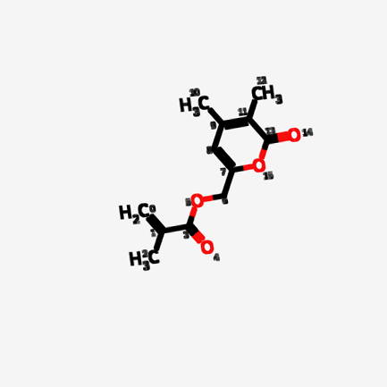 C=C(C)C(=O)OCc1cc(C)c(C)c(=O)o1